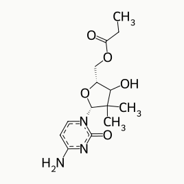 CCC(=O)OC[C@H]1O[C@@H](n2ccc(N)nc2=O)C(C)(C)C1O